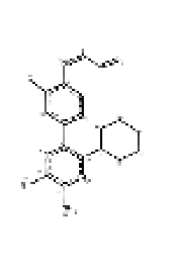 C=C/C=N\c1ccc(-c2nc(Br)c(N)nc2C2CCCCC2)cc1C